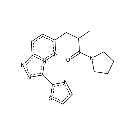 CC(Cc1ccc2nnc(-c3nccs3)n2n1)C(=O)N1CCCC1